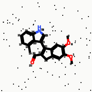 COc1cc2c(cc1OC)C(c1c[nH]c3cccc(C)c13)=C(C=O)C2